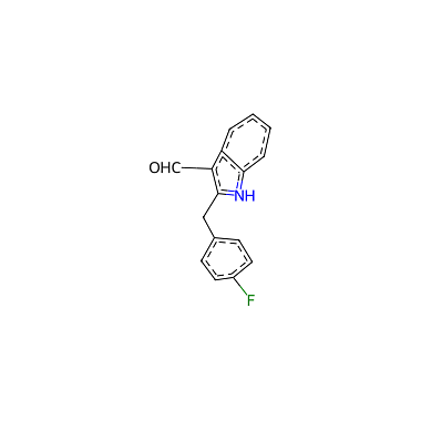 O=Cc1c(Cc2ccc(F)cc2)[nH]c2ccccc12